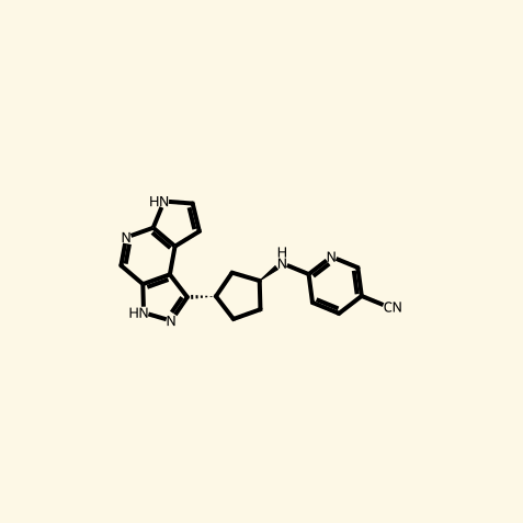 N#Cc1ccc(N[C@H]2CC[C@H](c3n[nH]c4cnc5[nH]ccc5c34)C2)nc1